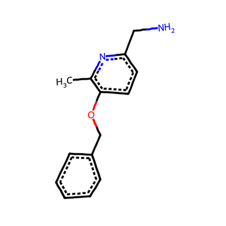 Cc1nc(CN)ccc1OCc1ccccc1